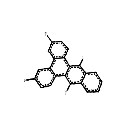 Fc1ccc2c(c1)c1cc(F)ccc1c1c(F)c3ccccc3c(F)c21